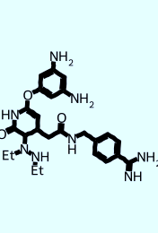 CCNN(CC)C1C(=O)NC(Oc2cc(N)cc(N)c2)=CC1CC(=O)NCc1ccc(C(=N)N)cc1